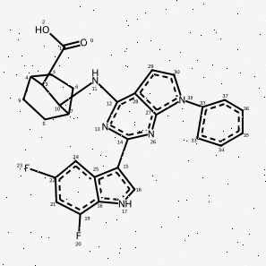 O=C(O)C1C2CCC(CC2)C1Nc1nc(-c2c[nH]c3c(F)cc(F)cc23)nc2c1ccn2-c1ccccc1